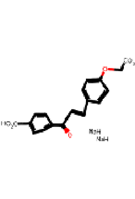 O=C(O)COc1ccc(C=CC(=O)c2ccc(C(=O)O)cc2)cc1.[NaH].[NaH]